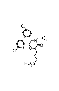 O=C1[C@@H](CCCS(=O)(=O)O)O[C@H](c2cccc(Cl)c2)[C@H](c2ccc(Cl)cc2)N1CC1CC1